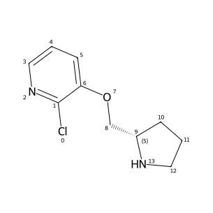 Clc1ncccc1OC[C@@H]1CCCN1